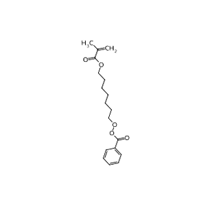 C=C(C)C(=O)OCCCCCCCOOC(=O)c1ccccc1